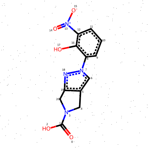 O=C(O)N1Cc2cn(-c3cccc([N+](=O)[O-])c3O)nc2C1